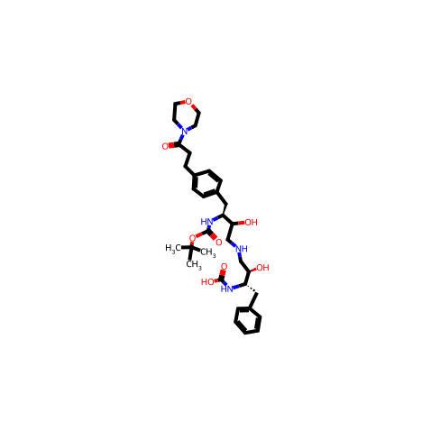 CC(C)(C)OC(=O)N[C@@H](Cc1ccc(CCC(=O)N2CCOCC2)cc1)C(O)CNC[C@@H](O)[C@H](Cc1ccccc1)NC(=O)O